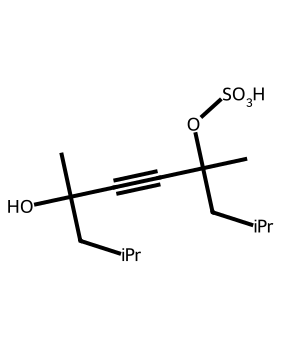 CC(C)CC(C)(O)C#CC(C)(CC(C)C)OS(=O)(=O)O